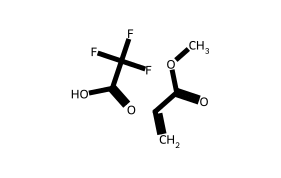 C=CC(=O)OC.O=C(O)C(F)(F)F